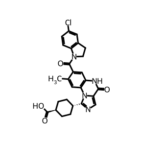 Cc1cc2c(cc1C(=O)N1CCc3cc(Cl)ccc31)[nH]c(=O)c1cnc([C@H]3CC[C@H](C(=O)O)CC3)n12